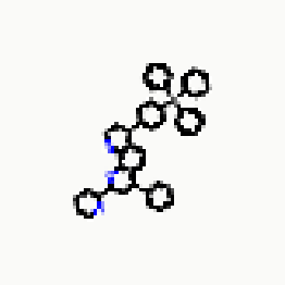 c1ccc(-c2cc(-c3ccccn3)nc3c2ccc2c(-c4ccc([Si](c5ccccc5)(c5ccccc5)c5ccccc5)cc4)ccnc23)cc1